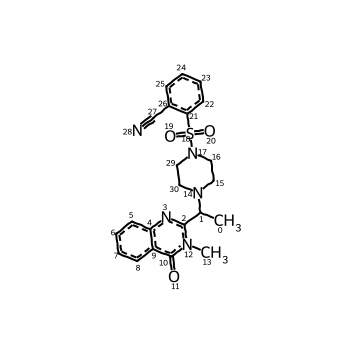 CC(c1nc2ccccc2c(=O)n1C)N1CCN(S(=O)(=O)c2ccccc2C#N)CC1